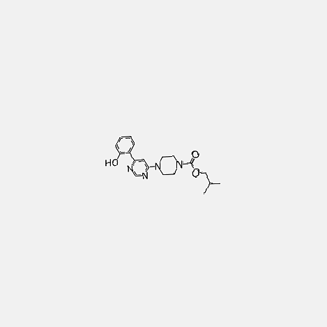 CC(C)COC(=O)N1CCN(c2cc(-c3ccccc3O)ncn2)CC1